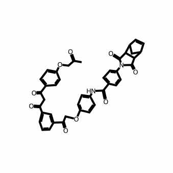 CC(=O)COc1ccc(C(=O)CC(=O)c2cccc(C(=O)COc3ccc(NC(=O)c4ccc(N5C(=O)C6C7C=CC(C7)C6C5=O)cc4)cc3)c2)cc1